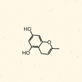 CC1=CCc2c(O)cc(O)cc2O1